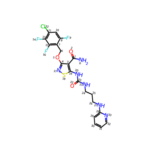 NC(=O)c1c(OCc2c(F)cc(Cl)c(F)c2F)nsc1NC(=O)NCCCNc1ccccn1